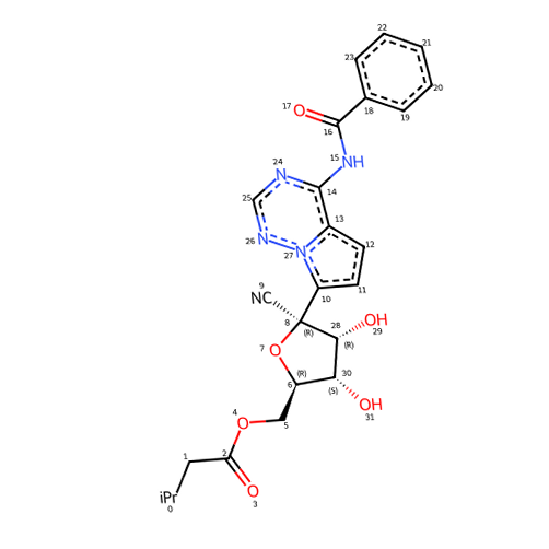 CC(C)CC(=O)OC[C@H]1O[C@@](C#N)(c2ccc3c(NC(=O)c4ccccc4)ncnn23)[C@H](O)[C@@H]1O